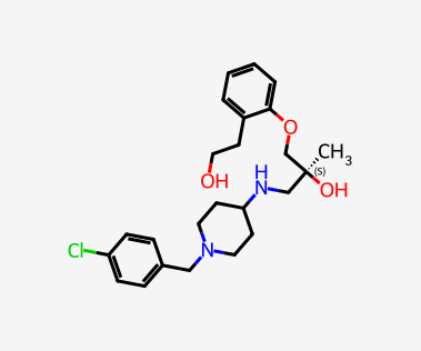 C[C@](O)(CNC1CCN(Cc2ccc(Cl)cc2)CC1)COc1ccccc1CCO